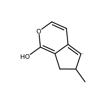 CC1[C]=C2C=COC(O)=C2C1